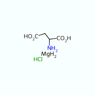 Cl.NC(CC(=O)O)C(=O)O.[MgH2]